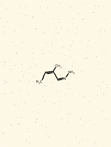 C/C=C(C)\C=N/N